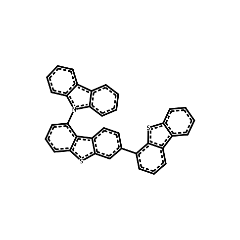 c1ccc2c(c1)sc1c(-c3ccc4c(c3)sc3cccc(-n5c6ccccc6c6ccccc65)c34)cccc12